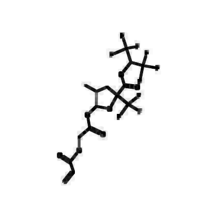 C=CC(=O)OCC(=O)OC1OC(C(=O)OC(C(F)(F)F)C(F)(F)F)(C(F)(F)F)CC1C